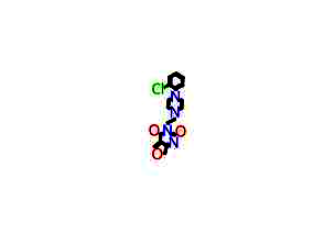 O=C1N=C2COC=C2C(=O)N1CCN1CCN(c2ccccc2Cl)CC1